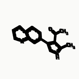 CC(=O)c1c(-c2ccc3cccnc3c2)c[nH]c1C